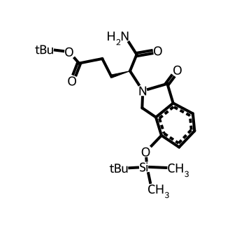 CC(C)(C)OC(=O)CC[C@@H](C(N)=O)N1Cc2c(O[Si](C)(C)C(C)(C)C)cccc2C1=O